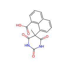 CC1(c2cccc3cccc(C(=O)O)c23)C(=O)NC(=O)NC1=O